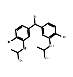 CCCCC(C)Nc1cc(C(CC)c2ccc(O)c(NC(C)CCCC)c2)ccc1O